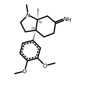 COc1ccc([C@@]23CCC(=N)C[C@]2(C)N(C)CC3)cc1OC